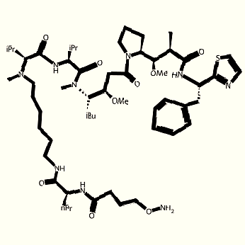 CCC[C@H](NC(=O)CCCON)C(=O)NCCCCCCN(C)[C@H](C(=O)N[C@H](C(=O)N(C)[C@@H]([C@@H](C)CC)[C@@H](CC(=O)N1CCC[C@H]1[C@H](OC)[C@@H](C)C(=O)N[C@@H](Cc1ccccc1)c1nccs1)OC)C(C)C)C(C)C